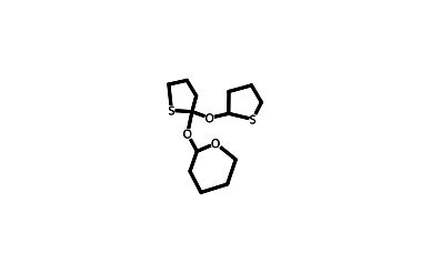 C1CCC(OC2(OC3CCCS3)CCCS2)OC1